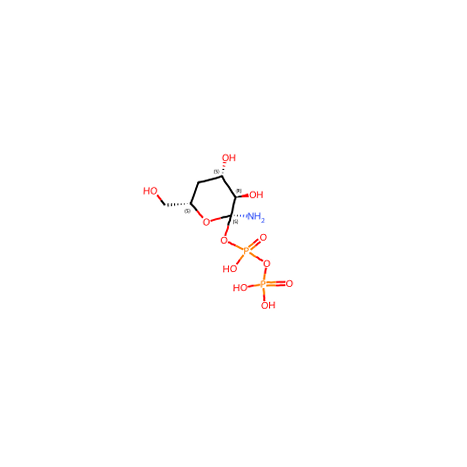 N[C@]1(OP(=O)(O)OP(=O)(O)O)O[C@H](CO)C[C@H](O)[C@H]1O